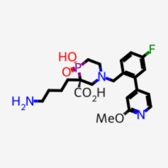 COc1cc(-c2cc(F)ccc2CN2CCP(=O)(O)[C@](CCCCN)(C(=O)O)C2)ccn1